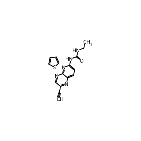 C#Cc1cnc2nc(NC(=O)NCC)ccc2n1.c1ccsc1